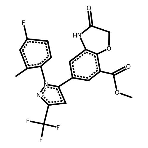 COC(=O)c1cc(-c2cc(C(F)(F)F)nn2-c2ccc(F)cc2C)cc2c1OCC(=O)N2